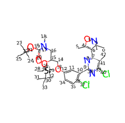 Cc1noc(C)c1-c1nc(-c2cc(OCC(CN(C)C(=O)OC(C)(C)C)O[Si](C)(C)C(C)(C)C)ccc2Cl)nc(Cl)c1C